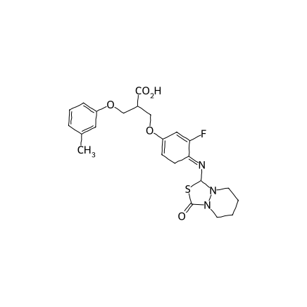 Cc1cccc(OCC(COC2=CCC(=NC3SC(=O)N4CCCCN34)C(F)=C2)C(=O)O)c1